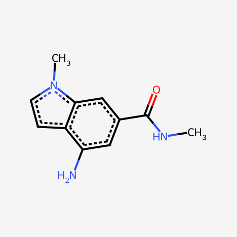 CNC(=O)c1cc(N)c2ccn(C)c2c1